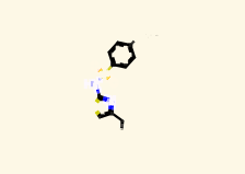 COc1ccc(S(=O)(=O)Nc2nc(CC(=O)O)cs2)cc1